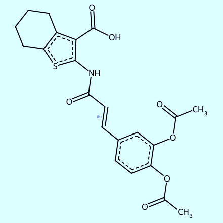 CC(=O)Oc1ccc(/C=C/C(=O)Nc2sc3c(c2C(=O)O)CCCC3)cc1OC(C)=O